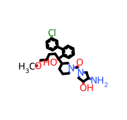 COCCCCC(O)(c1ccccc1-c1cccc(Cl)c1)C1CCCN(C(=O)N2CC(N)C(O)C2)C1